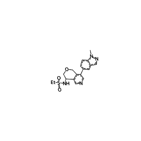 CCS(=O)(=O)NC1COCc2c(-c3ccc4c(cnn4C)c3)cncc21